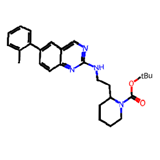 Cc1ccccc1-c1ccc2nc(NCCC3CCCCN3C(=O)OC(C)(C)C)ncc2c1